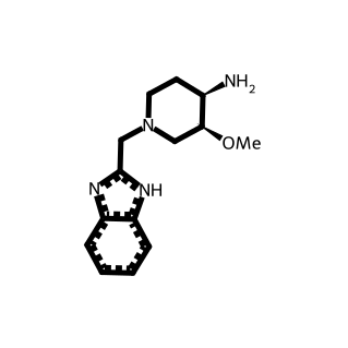 CO[C@H]1CN(Cc2nc3ccccc3[nH]2)CC[C@H]1N